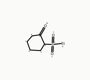 CCS(=O)(=O)C1CCCCC1=O